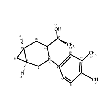 N#Cc1ccc(N2C[C@H]3C[C@H]3CC2[C@@H](O)C(F)(F)F)cc1C(F)(F)F